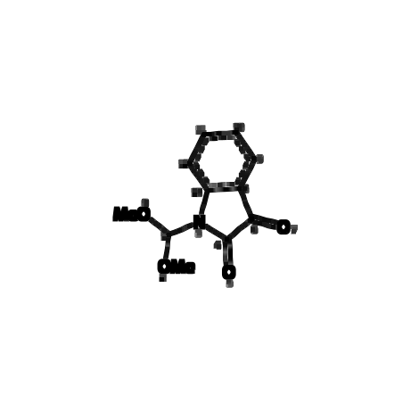 COC(OC)N1C(=O)C(=O)c2ccccc21